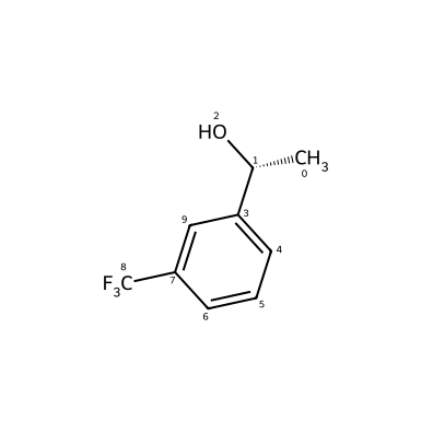 C[C@@H](O)c1cccc(C(F)(F)F)c1